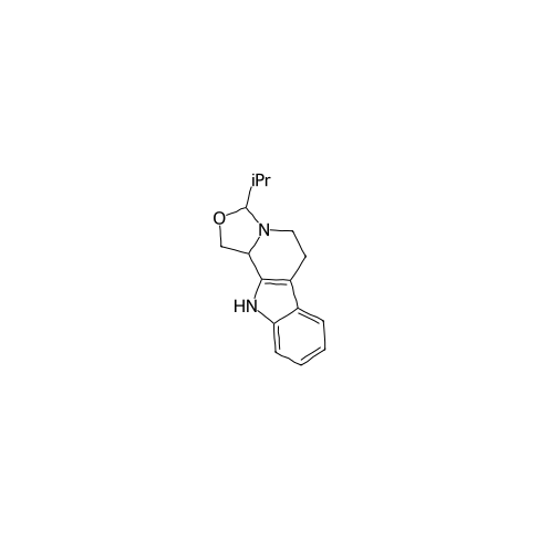 CC(C)C1OCC2c3[nH]c4ccccc4c3CCN21